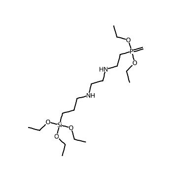 C=P(CCNCCNCCC[Si](OCC)(OCC)OCC)(OCC)OCC